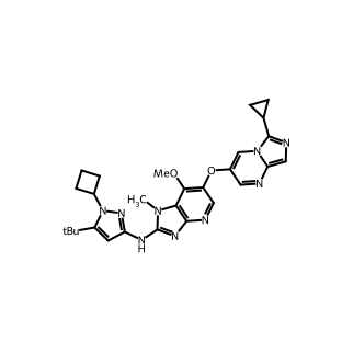 COc1c(Oc2cnc3cnc(C4CC4)n3c2)cnc2nc(Nc3cc(C(C)(C)C)n(C4CCC4)n3)n(C)c12